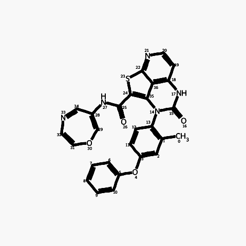 Cc1cc(Oc2ccccc2)ccc1N1C(=O)Nc2ccnc3sc(C(=O)NC4=COC=CN=C4)c1c23